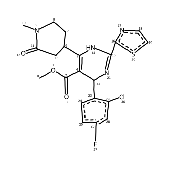 COC(=O)C1=C(C2CCN(C)C(=O)C2)NC(c2nccs2)=NC1c1ccc(F)cc1Cl